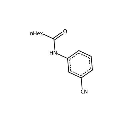 CCCCCCC(=O)Nc1cccc(C#N)c1